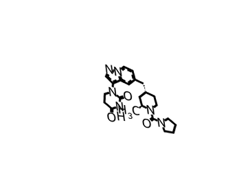 C[C@H]1C[C@H](Cc2ccn3ncc(N4CCC(=O)NC4=O)c3c2)CCN1C(=O)N1CCCC1